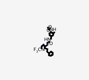 Cc1cc(CNC(=O)/C=C/c2ccc(C(F)(F)F)nc2CCc2ccccc2)ccc1NS(C)(=O)=O